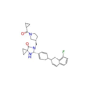 O=C(C1CC1)N1CC[C@@H](CN2C(=O)C3(CC3)NC2C2=CCC(C3C=Cc4cccc(F)c4C3)C=C2)C1